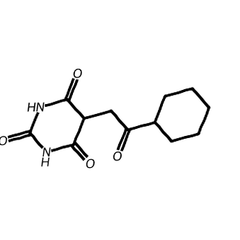 O=C1NC(=O)C(CC(=O)C2CCCCC2)C(=O)N1